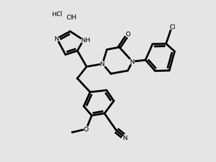 COc1cc(CC(c2cnc[nH]2)N2CCN(c3cccc(Cl)c3)C(=O)C2)ccc1C#N.Cl.Cl